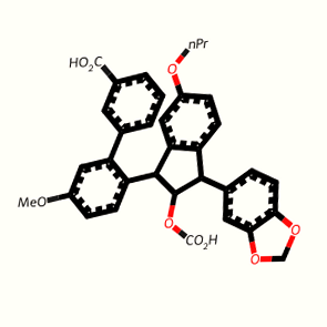 CCCOc1ccc2c(c1)C(c1ccc(OC)cc1-c1cccc(C(=O)O)c1)C(OC(=O)O)C2c1ccc2c(c1)OCO2